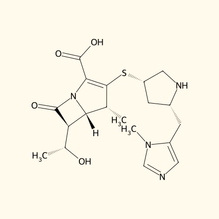 C[C@@H](O)[C@H]1C(=O)N2C(C(=O)O)=C(S[C@@H]3CN[C@H](Cc4cncn4C)C3)[C@H](C)[C@H]12